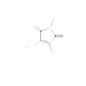 COC1=C(C#N)C(=O)N(C)C1=O